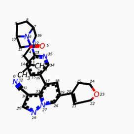 CC(C)CC(=O)N1C2CCC1CN(c1ccc(-c3cc(C4=CCOCC4)cn4ncc(C#N)c34)cn1)C2